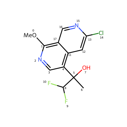 COc1ncc(C(C)(O)C(F)F)c2cc(Cl)ncc12